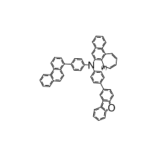 C[C@@H]1C=CC=Cc2c1c(N(c1ccc(-c3ccc4oc5ccccc5c4c3)cc1)c1ccc(-c3cccc4c3ccc3ccccc34)cc1)cc1ccccc21